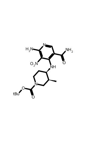 C[C@H]1CN(C(=O)OC(C)(C)C)CC[C@H]1Nc1c(C(N)=O)cnc(N)c1[N+](=O)[O-]